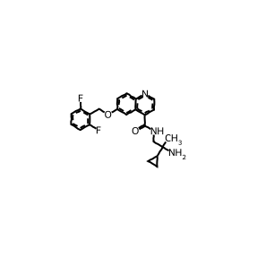 CC(N)(CNC(=O)c1ccnc2ccc(OCc3c(F)cccc3F)cc12)C1CC1